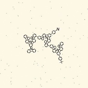 CC(C)(C)c1ccc(-c2cc3c4ccc5c6ccccc6oc5c4n4c3c(c2)c2ccc3c5cc(-c6cccc7oc8c(ccc9c%10cc(-c%11ccc(C#N)cc%11)cc%11c%12ccc%13c%14cc(-c%15cccc%16oc%17c(ccc%18c%19cc(-n%20c%21ccccc%21c%21ccccc%21%20)cc%20c%21ccc%22c%23ccccc%23oc%22c%21n(c%20%19)c%18%17)c%15%16)ccc%14oc%13c%12n(c%11%10)c98)c67)ccc5oc3c24)cc1